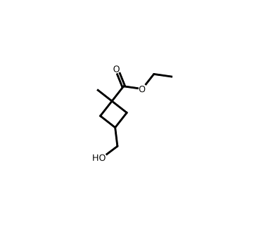 CCOC(=O)C1(C)CC(CO)C1